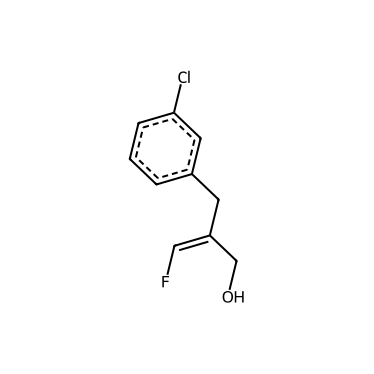 OCC(=CF)Cc1cccc(Cl)c1